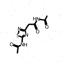 CC(=O)NC(=O)Cc1nsc(NC(C)=O)n1